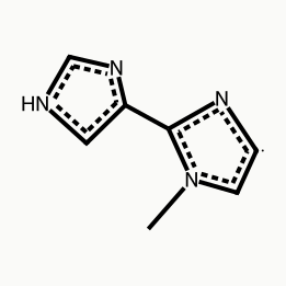 Cn1c[c]nc1-c1c[nH]cn1